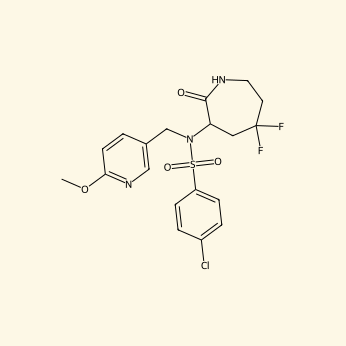 COc1ccc(CN(C2CC(F)(F)CCNC2=O)S(=O)(=O)c2ccc(Cl)cc2)cn1